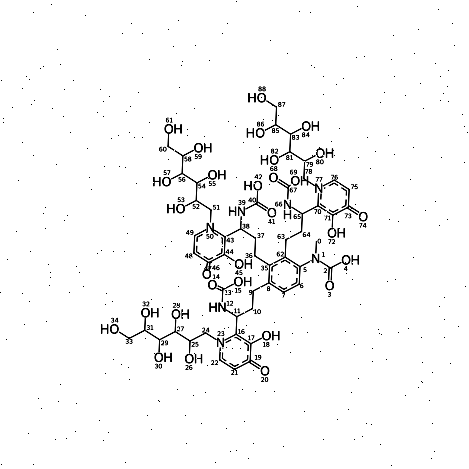 CN(C(=O)O)c1ccc(CCC(NC(=O)O)c2c(O)c(=O)ccn2CC(O)C(O)C(O)C(O)CO)c(CCC(NC(=O)O)c2c(O)c(=O)ccn2CC(O)C(O)C(O)C(O)CO)c1CCC(NC(=O)O)c1c(O)c(=O)ccn1CC(O)C(O)C(O)C(O)CO